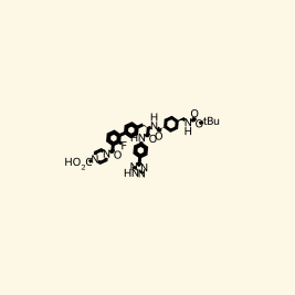 CC(C)(C)OC(=O)NC[C@H]1CC[C@H](C(=O)N[C@@H](Cc2ccc(-c3cccc(C(=O)N4CCN(C(=O)O)CC4)c3F)cc2)C(=O)Nc2ccc(-c3nn[nH]n3)cc2)CC1